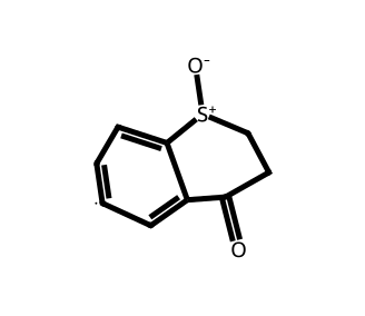 O=C1CC[S+]([O-])c2cc[c]cc21